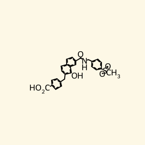 CS(=O)(=O)c1ccc(CNC(=O)c2ccc3ccc(Cc4ccc(C(=O)O)cc4)c(O)c3c2)cc1